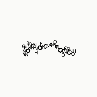 CP(C)(=O)c1c(Nc2nc(Nc3ccc(N4CCN(C5CN(C(=O)C6CN(c7ccc8c(c7)C(=O)N(C7CCC(=O)NC7=O)C8=O)C6)C5)CC4)c(F)c3)ncc2Br)ccc2nccnc12